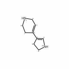 C1=C(C2=CCNCC2)CCN1